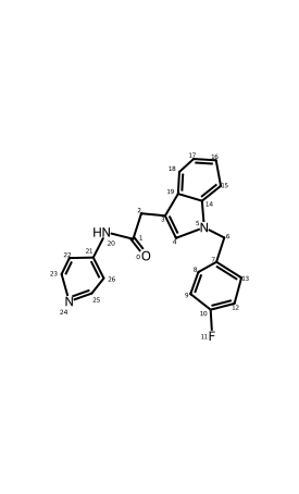 O=C(Cc1cn(Cc2ccc(F)cc2)c2ccccc12)Nc1ccncc1